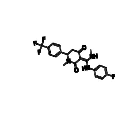 CNC(Nc1ccc(F)cc1)=C1C(=O)CC(c2ccc(C(F)(F)F)cc2)N(C)C1=O